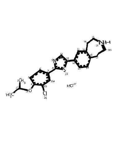 CC(C)Oc1ccc(-c2ncc(-c3ccc4c(c3)CCNCC4)s2)cc1Cl.Cl